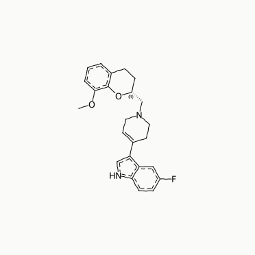 COc1cccc2c1O[C@@H](CN1CC=C(c3c[nH]c4ccc(F)cc34)CC1)CC2